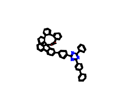 c1ccc(-c2ccc(-c3nc(-c4ccccc4)nc(-c4ccc(-c5ccc6c(c5)C5(c7ccccc7-c7ccccc7-c7ccccc7-c7ccccc75)c5ccccc5-6)cc4)n3)cc2)cc1